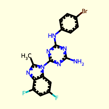 Cc1nc2c(F)cc(F)cc2n1-c1nc(N)nc(Nc2ccc(Br)cc2)n1